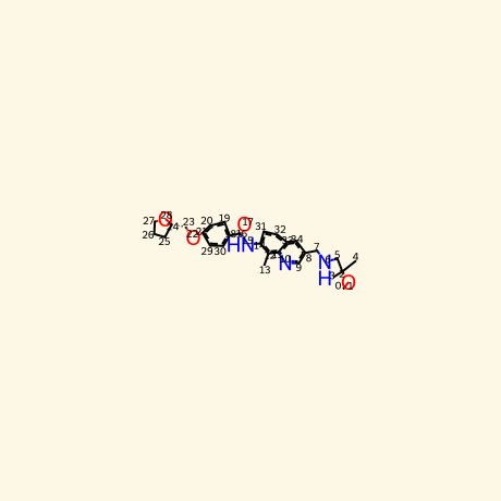 COC(C)(C)CNCc1cnc2c(C)c(NC(=O)c3ccc(OC[C@@H]4CCCO4)cc3)ccc2c1